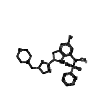 CN(c1cc(Br)cc2c1NC(C1=NCC(CN3CCOCC3)S1)C2)S(=O)(=O)c1ccccn1